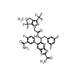 C[C@@H]1Cc2c(C(F)(F)F)nn(CC(=O)NC(Cc3cc(F)cc(F)c3)c3nc4nc(C(N)=O)sc4cc3-c3ccc(F)c(C(N)=O)c3)c2C1(F)F